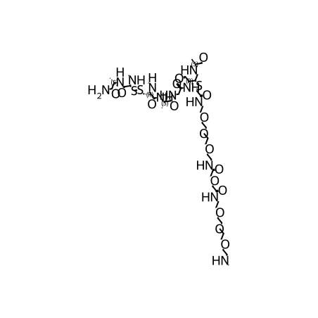 CNCCOCCOCCOCCNC(=O)COCC(=O)NCCOCCOCCOCCNC(=O)CSC(CN[C@@H](C)C=O)[C@@H](C=O)NC(=O)CNC(=O)[C@H](C)NC(=O)[C@H](CSSC(NC)C(=O)N[C@@H](C)C(N)=O)NC